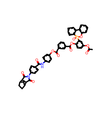 CC(=O)Oc1ccc(OC(=O)c2cccc(C(=O)Oc3ccc(NC(=O)c4ccc(N5C(=O)C6C7CCC(C7)C6C5=O)cc4)cc3)c2)c(P2(=O)Oc3ccccc3-c3ccccc32)c1